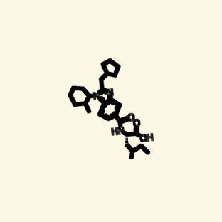 CCC(C)C[C@H](NC(=O)c1ccc2c(c1)nc(CC1CCCC1)n2C1CCCCC1C)C(=O)O